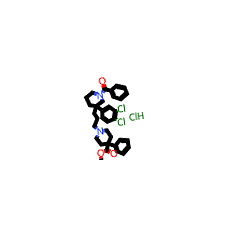 COC(=O)C1(c2ccccc2)CCN(CCCC2(c3ccc(Cl)c(Cl)c3)CCCN(C(=O)c3ccccc3)C2)CC1.Cl